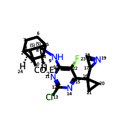 CCOC(=O)[C@H]1C2CCC(CC2)[C@@H]1Nc1nc(Cl)nc(C2(C3C=N3)CC2)c1F